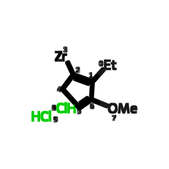 CCC1=[C]([Zr])CC=C1OC.Cl.Cl